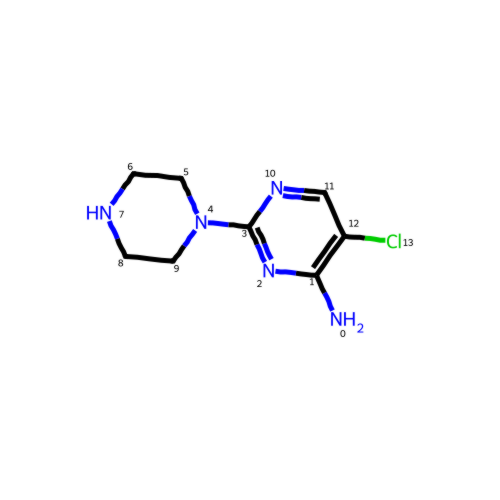 Nc1nc(N2CCNCC2)ncc1Cl